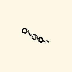 CC(C)c1ccc(N2CCN(CCN3CCCCC3)CC2)cc1